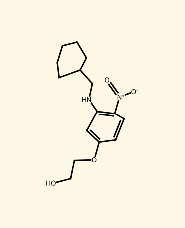 O=[N+]([O-])c1ccc(OCCO)cc1NCC1CCCCC1